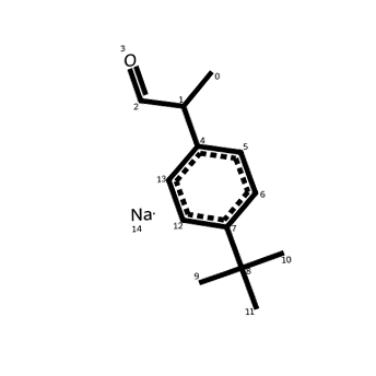 CC(C=O)c1ccc(C(C)(C)C)cc1.[Na]